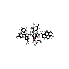 COc1ccc(C(OC[C@@H]2O[C@H](n3ccc(=O)[nH]c3=O)C(n3cc(C(=O)c4ccc5ccc6cccc7ccc4c5c67)nn3)C2O[PH](=O)OCC(C#N)N(C(C)C)C(C)C)(c2ccccc2)c2ccc(OC)cc2)cc1